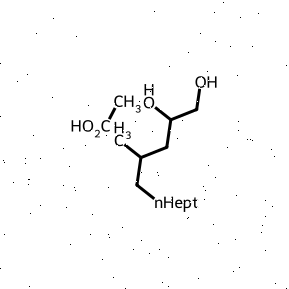 CC(=O)O.CCCCCCCCC(C)CC(O)CO